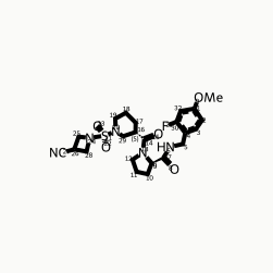 COc1ccc(CNC(=O)[C@H]2CCCN2C(=O)[C@H]2CCCN(S(=O)(=O)N3CC(C#N)C3)C2)c(F)c1